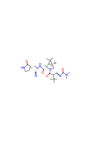 CN(C)C(=O)/N=C/C(C(=O)N1C[C@H]2C([C@H]1C(=O)N[C@H](C#N)C[C@@H]1CCNC1=O)C2(C)C)C(C)(C)C